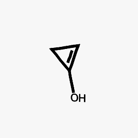 OC1=CC1